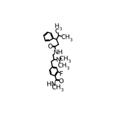 CNC(=O)c1ccc(CC(CNC(=O)CC(c2ccccc2)C(C)C)N(C)C)cc1F